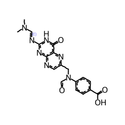 CN(C)/C=N/c1nc2ncc(CN(C=O)c3ccc(C(=O)O)cc3)nc2c(=O)[nH]1